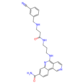 N#Cc1cccc(CNCCC(=O)NCCCNc2nc3cc(C(N)=O)ccc3c3cnccc23)c1